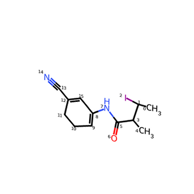 CC(I)C(C)C(=O)NC1=CCCC(C#N)=C1